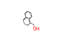 OCC1=c2ccccc2=CCC1